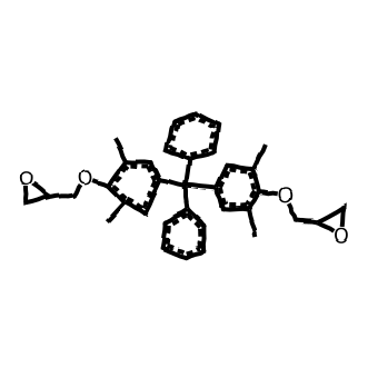 Cc1cc(C(c2ccccc2)(c2ccccc2)c2cc(C)c(OCC3CO3)c(C)c2)cc(C)c1OCC1CO1